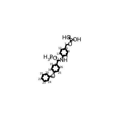 O=C(Nc1ccc(COP(O)O)cc1)c1ccc(Oc2ccccc2)cc1.P